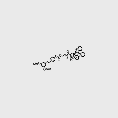 COc1cc(/C=C/c2ccc(OC(=O)OCCNC(=O)C(CC(=O)NC(c3ccccc3)(c3ccccc3)c3ccccc3)NC(=O)O)cc2)cc(OC)c1